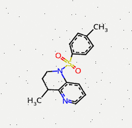 Cc1ccc(S(=O)(=O)N2CCC(C)c3ncccc32)cc1